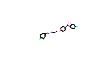 Fc1ccc2c(-c3ccc(OCCCNCc4ccc(Cl)c(Cl)c4)cc3)noc2c1